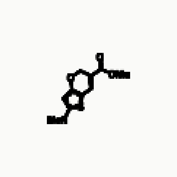 CNc1cc2c(s1)C=C(C(=O)OC)CO2